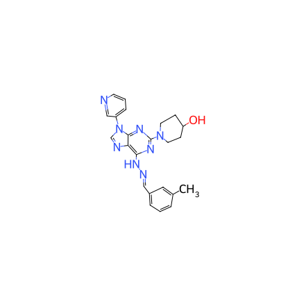 Cc1cccc(C=NNc2nc(N3CCC(O)CC3)nc3c2ncn3-c2cccnc2)c1